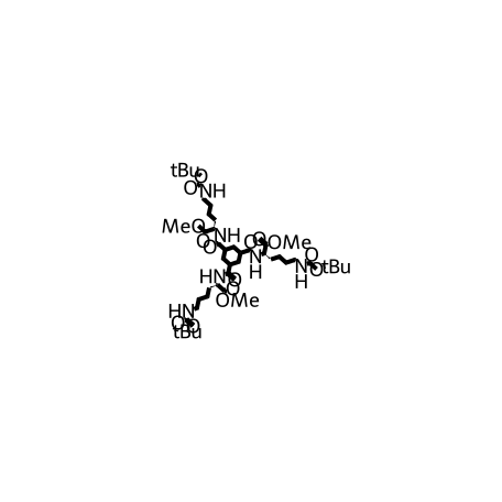 COC(=O)[C@H](CCCCNC(=O)OC(C)(C)C)NC(=O)C1CC(C(=O)N[C@@H](CCCCNC(=O)OC(C)(C)C)C(=O)OC)CC(C(=O)N[C@@H](CCCCNC(=O)OC(C)(C)C)C(=O)OC)C1